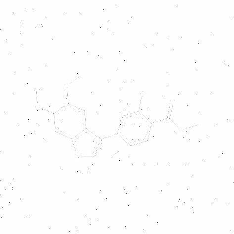 COC(=O)c1ccc(-n2cnc3cc(OC)c(OC)cc32)nc1Cl